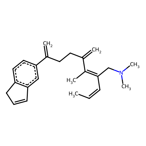 C=C(CCC(=C)c1ccc2c(c1)C=CC2)/C(C)=C(/C=C\C)CN(C)C